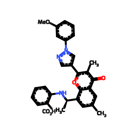 COc1cccc(-n2cc(-c3oc4c([C@@H](C)Nc5ccccc5C(=O)O)cc(C)cc4c(=O)c3C)cn2)c1